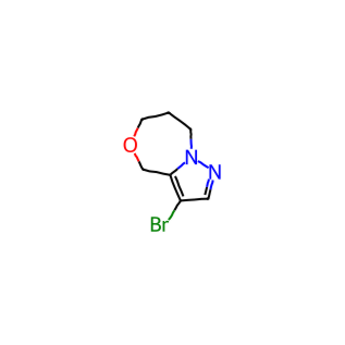 Brc1cnn2c1COCCC2